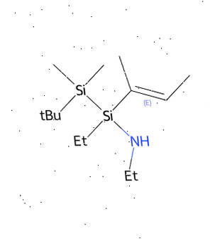 C/C=C(\C)[Si](CC)(NCC)[Si](C)(C)C(C)(C)C